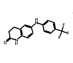 O=C1CCc2cc(Nc3ccc(C(F)(F)F)cc3)ccc2N1